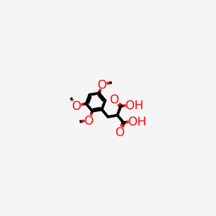 COc1cc(CC(C(=O)O)C(=O)O)c(OC)c(OC)c1